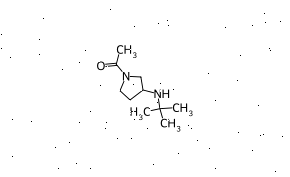 CC(=O)N1CCC(NC(C)(C)C)C1